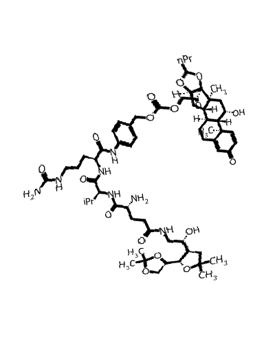 CCCC1O[C@@H]2C[C@H]3[C@@H]4CCC5=CC(=O)C=C[C@]5(C)[C@H]4[C@@H](O)C[C@]3(C)[C@]2(C(=O)COC(=O)OCc2ccc(NC(=O)[C@H](CCCNC(N)=O)NC(=O)[C@@H](NC(=O)[C@H](N)CCC(=O)NC[C@H](O)[C@H]3CC(C)(C)O[C@@H]3[C@H]3COC(C)(C)O3)C(C)C)cc2)O1